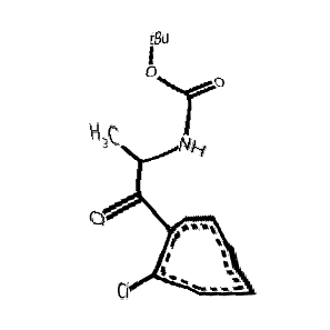 CC(NC(=O)OC(C)(C)C)C(=O)c1ccccc1Cl